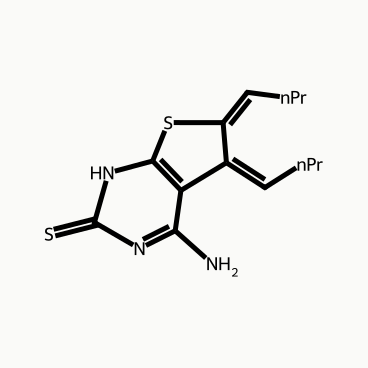 CCCC=c1sc2[nH]c(=S)nc(N)c2c1=CCCC